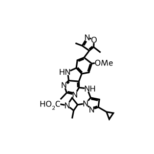 COc1cc2c(cc1-c1c(C)noc1C)[nH]c1nc(C)nc(Nc3cc(C4CC4)nn3C3CN(C(=O)O)C3C)c12